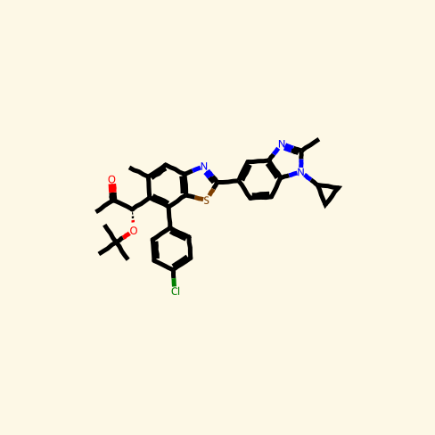 CC(=O)[C@@H](OC(C)(C)C)c1c(C)cc2nc(-c3ccc4c(c3)nc(C)n4C3CC3)sc2c1-c1ccc(Cl)cc1